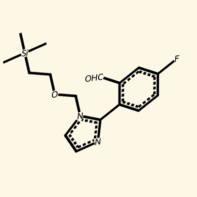 C[Si](C)(C)CCOCn1ccnc1-c1ccc(F)cc1C=O